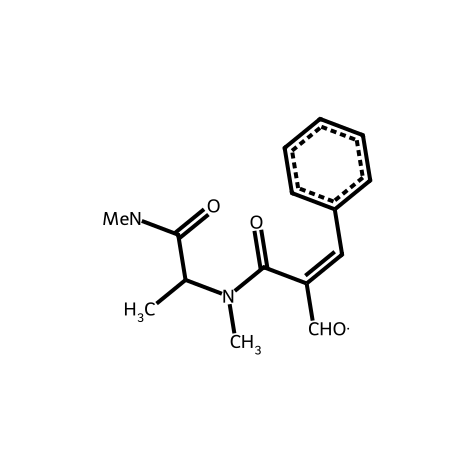 CNC(=O)C(C)N(C)C(=O)C([C]=O)=Cc1ccccc1